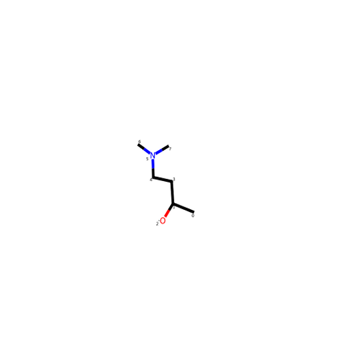 CC([O])CCN(C)C